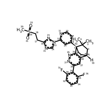 CC1(C)C[C@H]2CC[C@]1(c1ccnc(-n3cnc(CCS(C)(=O)=O)n3)c1)c1nnc(-c3c(F)cccc3F)cc12